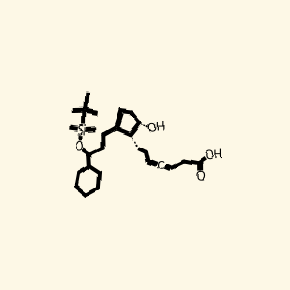 CC(C)(C)[Si](C)(C)OC(CCC1=CC[C@H](O)[C@@H]1CCC=C=CCC(=O)O)C1CCCCC1